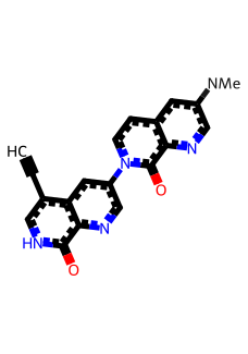 C#Cc1c[nH]c(=O)c2ncc(-n3ccc4cc(NC)cnc4c3=O)cc12